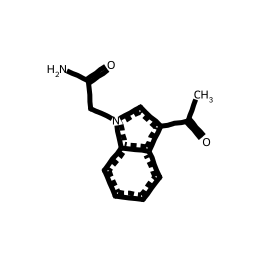 CC(=O)c1cn(CC(N)=O)c2ccccc12